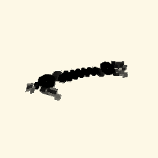 Cc1cc(OCCCCCCCCCCCCOc2ccc(N)c(C)c2)ccc1N